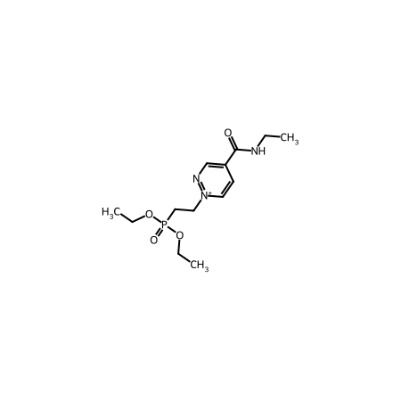 CCNC(=O)c1cc[n+](CCP(=O)(OCC)OCC)nc1